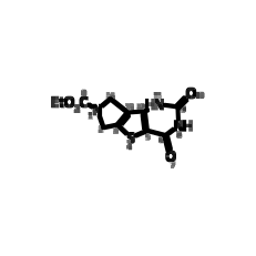 CCOC(=O)N1Cc2sc3c(=O)[nH]c(=O)[nH]c3c2C1